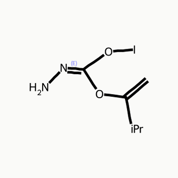 C=C(O/C(=N\N)OI)C(C)C